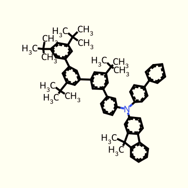 CC(C)(C)c1cc(-c2cccc(N(c3ccc(-c4ccccc4)cc3)c3ccc4c(c3)C(C)(C)c3ccccc3-4)c2)cc(-c2cc(-c3cc(C(C)(C)C)cc(C(C)(C)C)c3)cc(C(C)(C)C)c2)c1